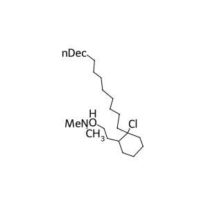 CCCCCCCCCCCCCCCCCCC1(Cl)CCCCC1CCO.CNC